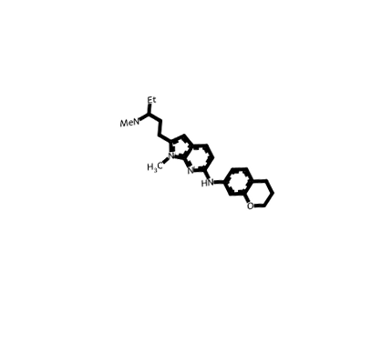 CCC(CCc1cc2ccc(Nc3ccc4c(c3)OCCC4)nc2n1C)NC